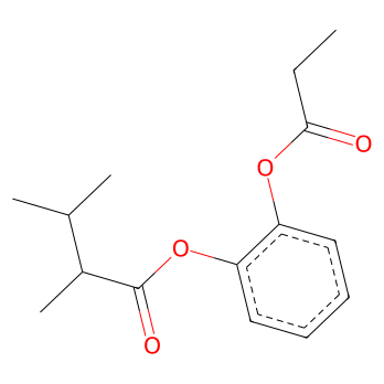 CCC(=O)Oc1ccccc1OC(=O)C(C)C(C)C